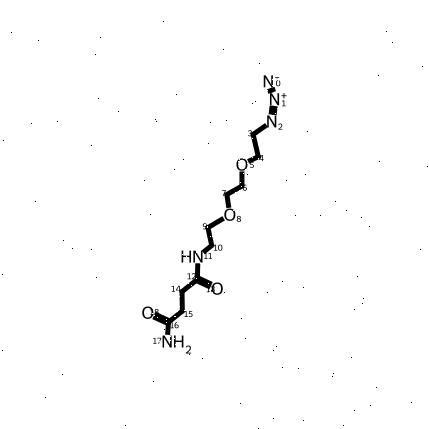 [N-]=[N+]=NCCOCCOCCNC(=O)CCC(N)=O